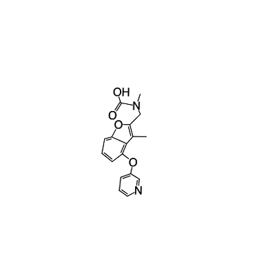 Cc1c(CN(C)C(=O)O)oc2cccc(Oc3cccnc3)c12